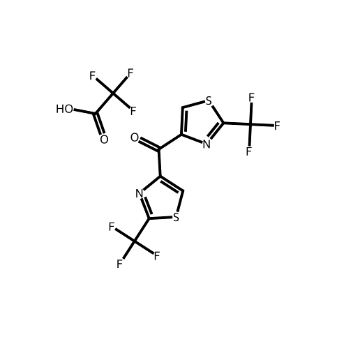 O=C(O)C(F)(F)F.O=C(c1csc(C(F)(F)F)n1)c1csc(C(F)(F)F)n1